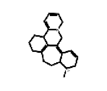 C[C@@H]1CC=CC2=C3CN4CC=CC=C4C4CCCC(=C34)CCC21